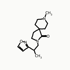 CC(CN1CCC2(CCN(C)CC2)C1=O)c1ccon1